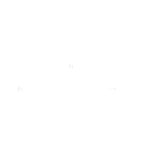 CC(C)C(O)Cc1nc2cc(Br)ccc2s1